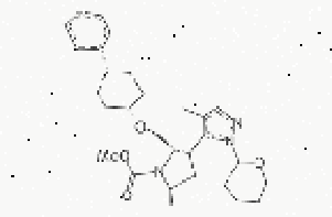 COC(=O)N1[C@H](C)CC(c2c(C)cnn2C2CCCCO2)[C@@H]1CO[C@H]1CC[C@@H](c2ccccc2)CC1